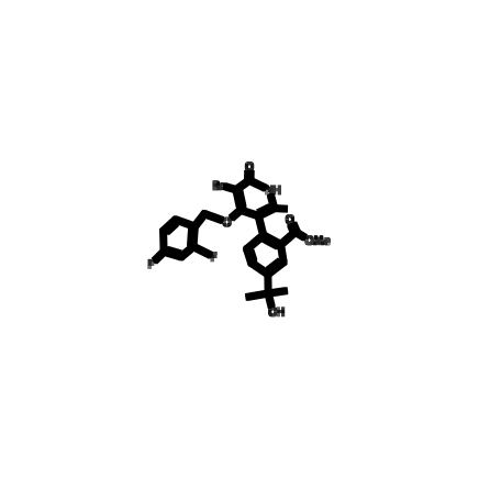 COC(=O)c1cc(C(C)(C)O)ccc1-c1c(C)[nH]c(=O)c(Br)c1OCc1ccc(F)cc1F